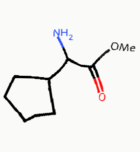 COC(=O)C(N)C1CCCC1